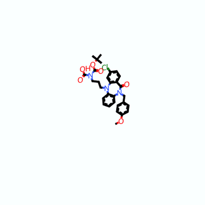 COc1ccc(CN2C(=O)c3ccc(Cl)cc3N(CCCN(C(=O)O)C(=O)OC(C)(C)C)c3ccccc32)cc1